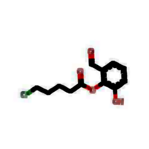 O=Cc1cccc(O)c1OC(=O)CCCCCl